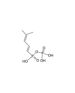 CC(C)=C/C=C/P(=O)(O)OP(=O)(O)O